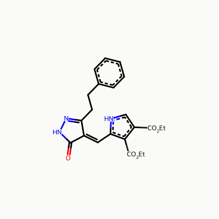 CCOC(=O)c1c[nH]c(/C=C2/C(=O)NN=C2CCc2ccccc2)c1C(=O)OCC